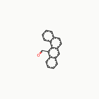 O=Cc1c2ccccc2cc2ccc3ccccc3c12